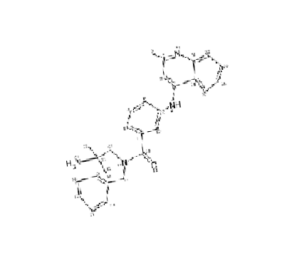 Cc1cc(Nc2cccc(C(=O)N(Cc3ccccc3)CC(C)(C)N)c2)c2ccccc2n1